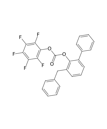 O=C(Oc1c(Cc2ccccc2)cccc1-c1ccccc1)Oc1c(F)c(F)c(F)c(F)c1F